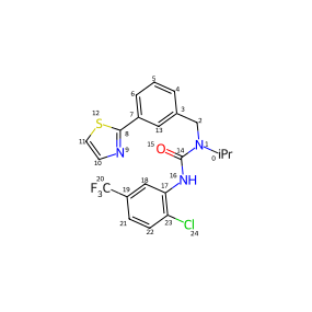 CC(C)N(Cc1cccc(-c2nccs2)c1)C(=O)Nc1cc(C(F)(F)F)ccc1Cl